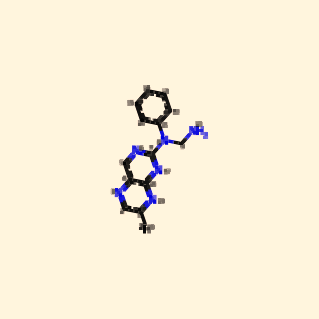 [2H]c1cnc2cnc(N(CN)c3ccccc3)nc2n1